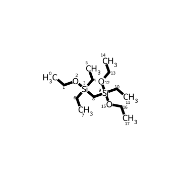 CCO[Si](CC)(CC)C[Si](CC)(OCC)OCC